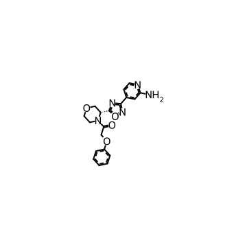 Nc1cc(-c2noc([C@H]3COCCN3C(=O)COc3ccccc3)n2)ccn1